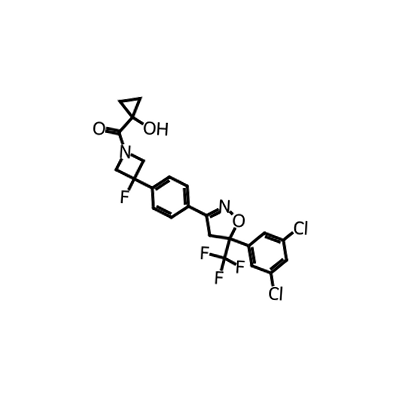 O=C(N1CC(F)(c2ccc(C3=NOC(c4cc(Cl)cc(Cl)c4)(C(F)(F)F)C3)cc2)C1)C1(O)CC1